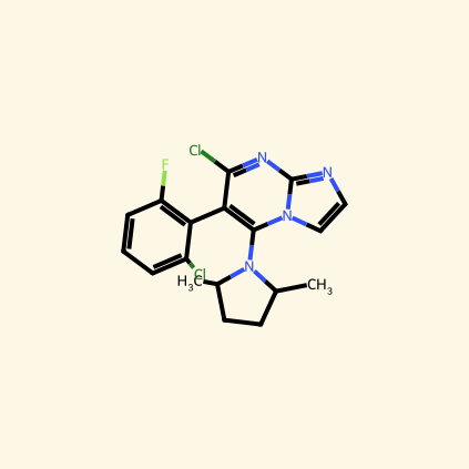 CC1CCC(C)N1c1c(-c2c(F)cccc2Cl)c(Cl)nc2nccn12